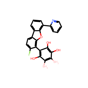 Bc1c(B)c(O)c(-c2c(F)ccc3c2oc2c(-c4ccccn4)cccc23)c(O)c1O